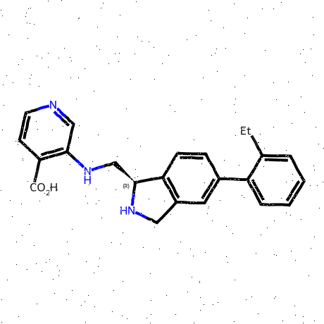 CCc1ccccc1-c1ccc2c(c1)CN[C@H]2CNc1cnccc1C(=O)O